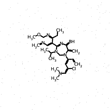 B=C1N=C(C(=C/N=C)/C(CC)=N\COC)N(C(C)C)CN(/C(C=C)=C/C(Cl)=C\N(C)C)C1=C